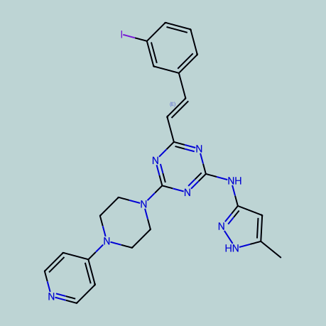 Cc1cc(Nc2nc(/C=C/c3cccc(I)c3)nc(N3CCN(c4ccncc4)CC3)n2)n[nH]1